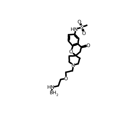 BNCCOCCN1CCC2(CC1)CC(=O)c1cc(NS(C)(=O)=O)ccc1O2